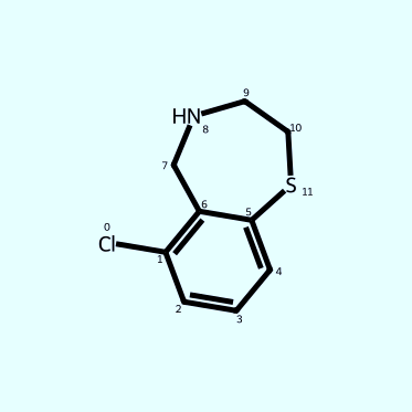 Clc1cccc2c1CNCCS2